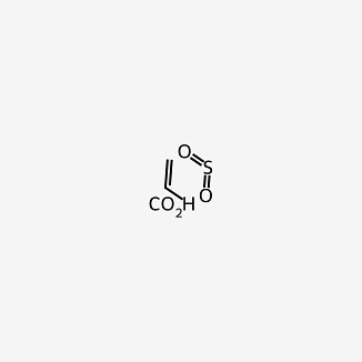 C=CC(=O)O.O=S=O